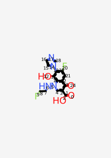 O=C(O)c1cn(NCCF)c2c(O)c(-n3ccnc3)c(F)cc2c1=O